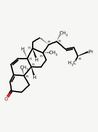 CC(C)[C@@H](C)C=C[C@@H](C)[C@H]1CC[C@H]2[C@@H]3C=CC4=CC(=O)CC[C@]4(C)[C@H]3CC[C@]12C